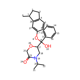 CC1CCc2ccc(OC(O)(c3ccccc3)C3CN(C(C)C)C(=O)CO3)cc21